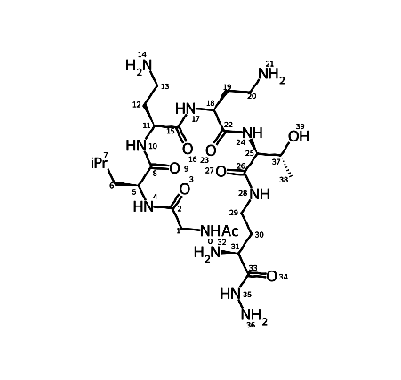 CC(=O)NCC(=O)N[C@@H](CC(C)C)C(=O)N[C@@H](CCN)C(=O)N[C@@H](CCN)C(=O)N[C@H](C(=O)NCC[C@H](N)C(=O)NN)[C@@H](C)O